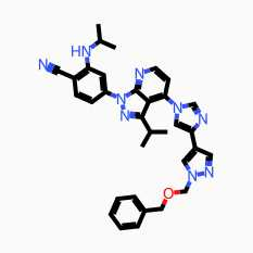 CC(C)Nc1cc(-n2nc(C(C)C)c3c(-n4cnc(-c5cnn(COCc6ccccc6)c5)c4)ccnc32)ccc1C#N